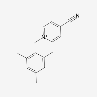 Cc1cc(C)c(C[n+]2ccc(C#N)cc2)c(C)c1